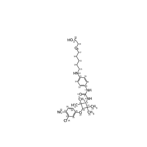 CC1(C)C(NC(=O)Nc2ccc(NCCCCCOCC(=O)O)cc2)C(C)(C)C1Oc1ccc(C#N)c(Cl)c1